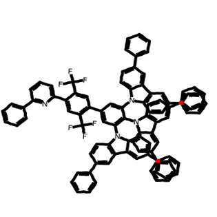 FC(F)(F)c1cc(-c2cccc(-c3ccccc3)n2)c(C(F)(F)F)cc1-c1cc(-n2c3ccc(-c4ccccc4)cc3c3cc(-c4ccccc4)ccc32)c(-n2c3ccc(-c4ccccc4)cc3c3cc(-c4ccccc4)ccc32)c(-n2c3ccc(-c4ccccc4)cc3c3cc(-c4ccccc4)ccc32)c1